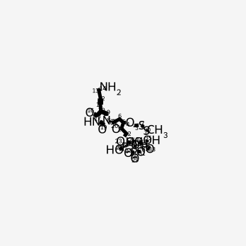 CSSCOC1C[C@H](n2cc(C#CCN)c(=O)[nH]c2=O)OC1COP(=O)(O)OP(=O)(O)OP(=O)(O)O